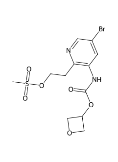 CS(=O)(=O)OCCc1ncc(Br)cc1NC(=O)OC1COC1